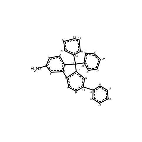 Nc1ccc2c(c1)-c1ccc(-c3ccccc3)cc1C2(c1ccccc1)c1ccccc1